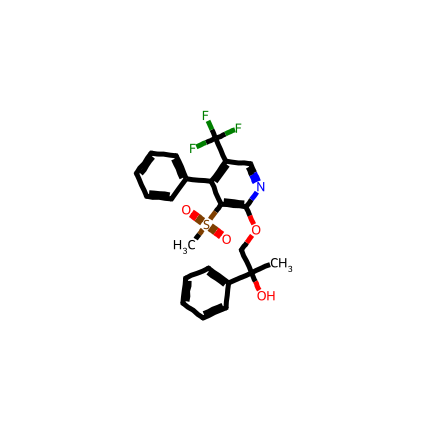 CC(O)(COc1ncc(C(F)(F)F)c(-c2ccccc2)c1S(C)(=O)=O)c1ccccc1